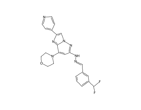 FC(F)c1cccc(/C=N/Nc2cc(N3CCOCC3)c3nc(-c4ccncc4)cn3n2)c1